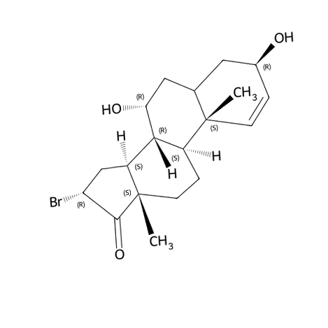 C[C@]12C=C[C@H](O)CC1C[C@@H](O)[C@@H]1[C@@H]2CC[C@]2(C)C(=O)[C@H](Br)C[C@@H]12